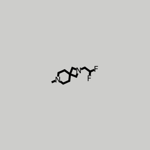 CN1CCC2(CC1)CN(CC(F)F)C2